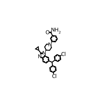 NC(=O)c1cccc(N2CCC(n3c(C4CC4)nc4ccc(C(c5ccc(Cl)cc5)c5ccc(Cl)cc5)cc43)CC2)c1